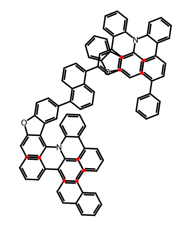 c1ccc(-c2ccc(-c3ccccc3N(c3ccccc3-c3cccc(-c4cccc5c(-c6ccc7oc8cccc(N(c9ccccc9-c9ccccc9)c9ccccc9-c9cccc(-c%10cccc%11ccccc%10%11)c9)c8c7c6)cccc45)c3)c3cccc4oc5ccccc5c34)cc2)cc1